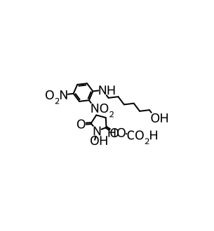 O=C(O)O.O=C1CCC(=O)N1O.O=[N+]([O-])c1ccc(NCCCCCCO)c([N+](=O)[O-])c1